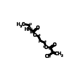 C=C(Cl)C(=O)OCCCOC(=O)NCC